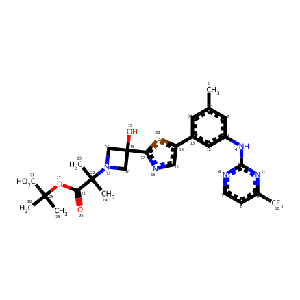 Cc1cc(Nc2nccc(C(F)(F)F)n2)cc(-c2cnc(C3(O)CN(C(C)(C)C(=O)OC(C)(C)C(=O)O)C3)s2)c1